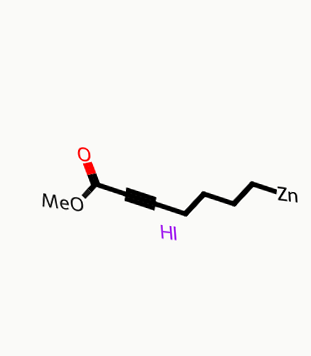 COC(=O)C#CCCC[CH2][Zn].I